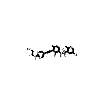 Cc1ncc(Cl)cc1S(=O)(=O)Nc1ccc(F)c(C#Cc2cnc(N[C@H](C)CO)nc2)c1F